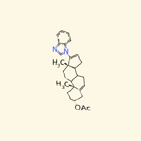 CC(=O)O[C@@H]1CC[C@@]2(C)C(=CCC3C2CC[C@]2(C)C(n4cnc5ccccc54)=CCC32)C1